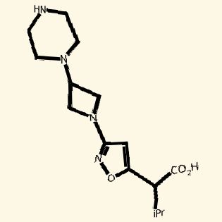 CC(C)C(C(=O)O)c1cc(N2CC(N3CCNCC3)C2)no1